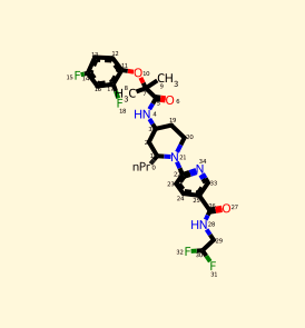 CCCC1CC(NC(=O)C(C)(C)Oc2ccc(F)cc2F)CCN1c1ccc(C(=O)NCC(F)F)cn1